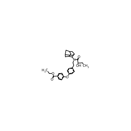 CCOC(=O)c1ccc(Oc2ccc(CCN(C(=O)C(O)CC)C3C4CC5CC(C4)CC3C5)cc2)cc1